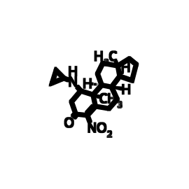 C[C@@]12CCC[C@H]1[C@@H]1CCC3=C([N+](=O)[O-])C(=O)CC(NC4CC4)[C@]3(C)[C@H]1CC2